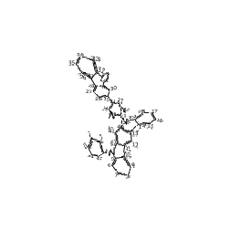 c1ccc(-n2c3ccccc3c3cc4c5ccccc5n(-c5ncc(-c6ccc7c(c6)oc6ccccc67)cn5)c4cc32)cc1